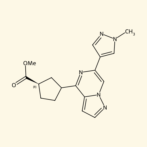 COC(=O)[C@@H]1CCC(c2nc(-c3cnn(C)c3)cn3nccc23)C1